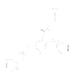 O=C(NOCC1CC1)c1cc(S(=O)(=O)NCc2ccccn2)c(F)c(F)c1Nc1ccc(I)cc1